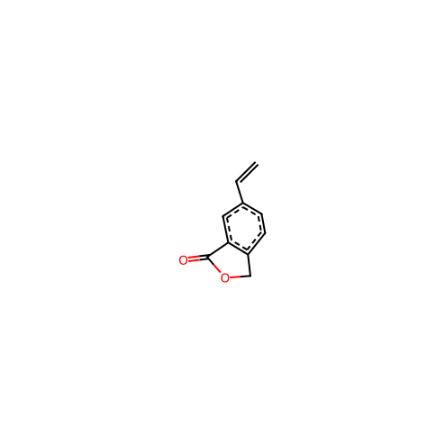 C=Cc1ccc2c(c1)C(=O)OC2